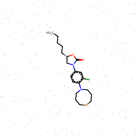 O=C(O)CCCC[C@@H]1CN(c2ccc(N3CCCSCCC3)c(F)c2)C(=O)O1